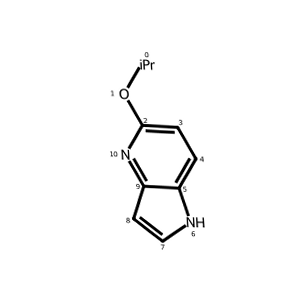 CC(C)Oc1ccc2[nH]ccc2n1